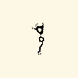 CC/C=C/CC[C@H]1CC[C@H](c2cc(F)c(F)c(F)c2)CC1